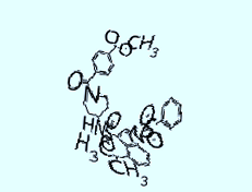 COC(=O)c1ccc(C(=O)N2CCC(NS(=O)(=O)c3cn(S(=O)(=O)c4ccccc4)c4cccc(C(C)C)c34)CC2)cc1